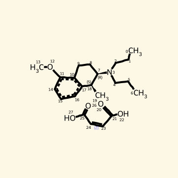 CCCN(CCC)[C@@H]1CCc2c(OC)cccc2[C@@H]1C.O=C(O)/C=C\C(=O)O